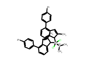 CC1=Cc2c(-c3ccc(C(C)C)cc3)cccc2[CH]1[Zr]([Cl])([Cl])([CH]1C(C)=Cc2c(-c3ccc(C(C)C)cc3)cccc21)[SiH](C)C